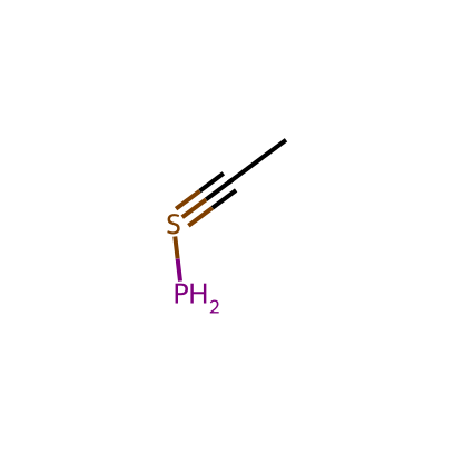 CC#SP